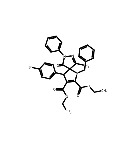 CCOC(=O)C1=C(C(=O)OCC)N(Cc2ccccc2)C2(C(=O)N(c3ccccc3)N=C2C)C1c1ccc(Br)cc1